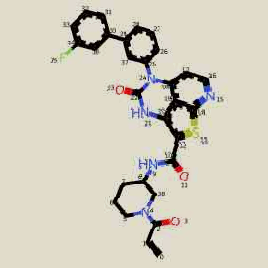 C=CC(=O)N1CCCC(NC(=O)c2sc3nccc4c3c2NC(=O)N4c2cccc(-c3cccc(F)c3)c2)C1